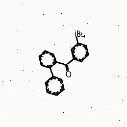 CCC(C)c1cccc(C(=O)c2ccccc2-c2ccccc2)c1